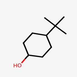 CC(C)(C)C1CC[C](O)CC1